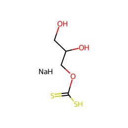 OCC(O)COC(=S)S.[NaH]